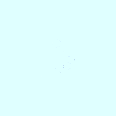 O=C1CCC(C(=O)Nc2cc3c(/C=C/c4ccc(F)cc4)n[nH]c3cc2F)C1